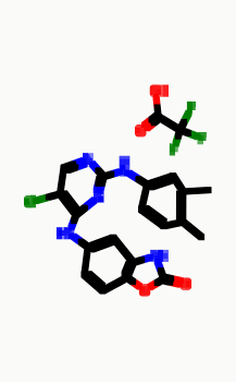 Cc1ccc(Nc2ncc(Cl)c(Nc3ccc4oc(=O)[nH]c4c3)n2)cc1C.O=C(O)C(F)(F)F